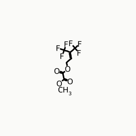 COC(=O)C(=O)OCC=C(C(F)(F)F)C(F)(F)F